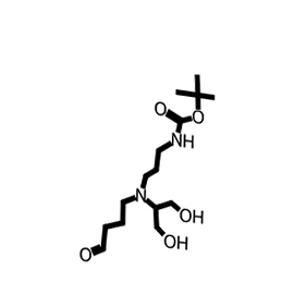 CC(C)(C)OC(=O)NCCCN(CCCC=O)C(CO)CO